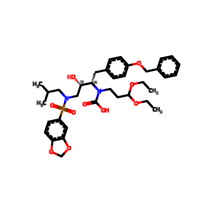 CCOC(CCN(C(=O)O)[C@@H](Cc1ccc(OCc2ccccc2)cc1)[C@@H](O)CN(CC(C)C)S(=O)(=O)c1ccc2c(c1)OCO2)OCC